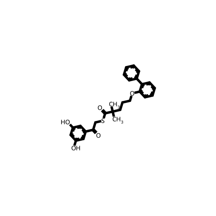 CC(C)(CCCOc1ccccc1-c1ccccc1)C(=O)SCC(=O)c1cc(O)cc(O)c1